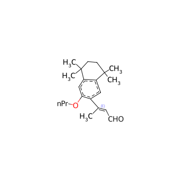 CCCOc1cc2c(cc1/C(C)=C/C=O)C(C)(C)CCC2(C)C